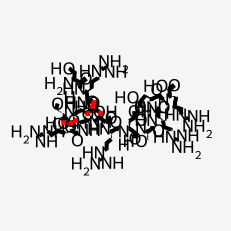 N=C(N)NCCC[C@H](NC(=O)[C@H](CC(=O)O)NC(=O)[C@H](CCCNC(=N)N)NC(=O)[C@H](CO)NC(=O)[C@H](CC(=O)O)NC(=O)[C@H](CCCNC(=N)N)NC(=O)[C@H](CO)NC(=O)[C@H](CC(=O)O)NC(=O)[C@H](CCCNC(=N)N)NC(=O)[C@H](CO)NC(=O)[C@H](CC(=O)O)NC(=O)[C@H](CCCNC(=N)N)NC(=O)[C@@H](N)CO)C(=O)O